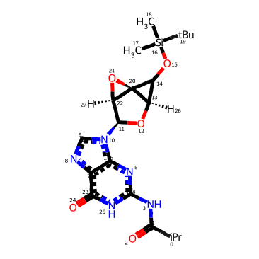 CC(C)C(=O)Nc1nc2c(ncn2[C@@H]2O[C@@H]3C(O[Si](C)(C)C(C)(C)C)[C@]34O[C@H]24)c(=O)[nH]1